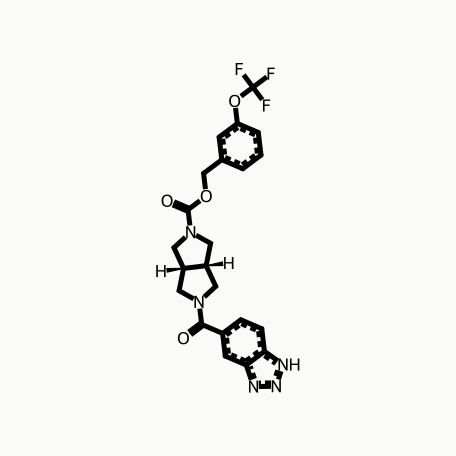 O=C(OCc1cccc(OC(F)(F)F)c1)N1C[C@@H]2CN(C(=O)c3ccc4[nH]nnc4c3)C[C@@H]2C1